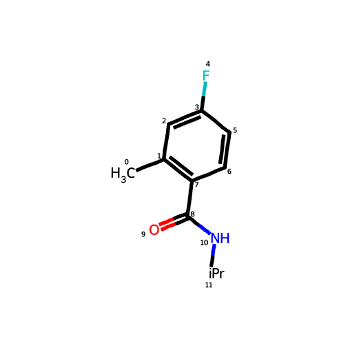 Cc1cc(F)ccc1C(=O)NC(C)C